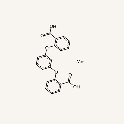 O=C(O)c1ccccc1Oc1cccc(Oc2ccccc2C(=O)O)c1.[Mn]